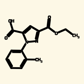 CCOC(=O)c1cc(C(=O)O)n(-c2ccccc2C)n1